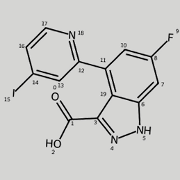 O=C(O)c1n[nH]c2cc(F)cc(-c3cc(I)ccn3)c12